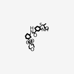 CC1Sc2ccc(C(=O)Nc3cccc(S(=O)(=O)N4CCOCC4)c3)cc2NC1=O